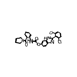 O=C(Nc1ccccc1C(=O)N1CCCC1)Oc1ccc2nc(-c3c(Cl)cccc3Cl)[nH]c2c1